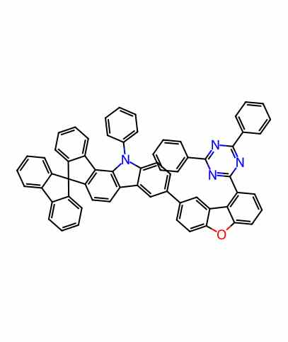 c1ccc(-c2nc(-c3ccccc3)nc(-c3cccc4oc5ccc(-c6ccc7c(c6)c6ccc8c(c6n7-c6ccccc6)-c6ccccc6C86c7ccccc7-c7ccccc76)cc5c34)n2)cc1